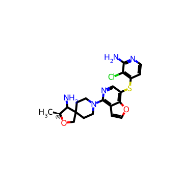 C[C@@H]1OCC2(CCN(c3ncc(Sc4ccnc(N)c4Cl)c4occc34)CC2)C1N